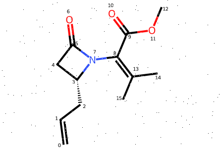 C=CC[C@@H]1CC(=O)N1C(C(=O)OC)=C(C)C